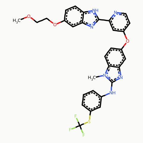 COCCOc1ccc2[nH]c(-c3cc(Oc4ccc5c(c4)nc(Nc4cccc(SC(F)(F)F)c4)n5C)ccn3)nc2c1